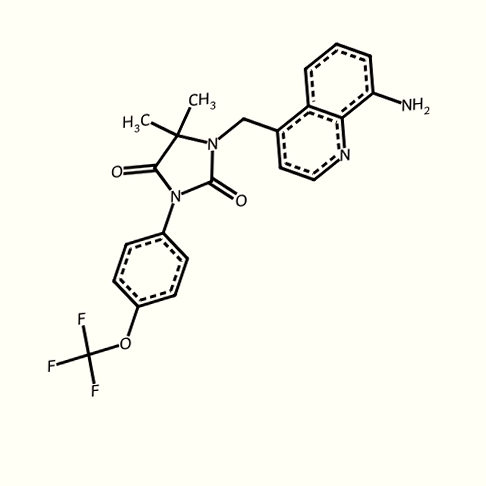 CC1(C)C(=O)N(c2ccc(OC(F)(F)F)cc2)C(=O)N1Cc1ccnc2c(N)cccc12